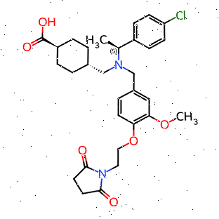 COc1cc(CN(C[C@H]2CC[C@H](C(=O)O)CC2)[C@@H](C)c2ccc(Cl)cc2)ccc1OCCN1C(=O)CCC1=O